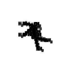 CC(C)=C(CCCCCN)N(CCCCCCN)C(=O)[C@H](O)[C@@H](O)[C@@H](O)[C@H](O)C(=O)N(CCCCCCN)CCCCCCN